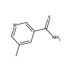 Cc1cncc(C(N)=S)c1